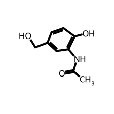 CC(=O)Nc1cc(CO)ccc1O